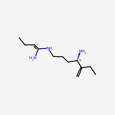 C=C(CC)[C@H](N)CCCN/C(N)=C/CC